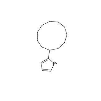 C1=C[P]C(C2CCCCCCCCCC2)=C1